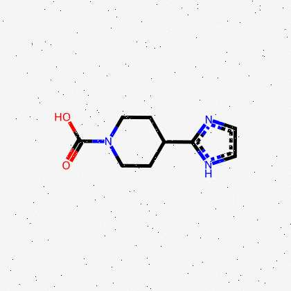 O=C(O)N1CCC(c2ncc[nH]2)CC1